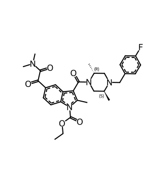 CCOC(=O)n1c(C)c(C(=O)N2C[C@H](C)N(Cc3ccc(F)cc3)C[C@H]2C)c2cc(C(=O)C(=O)N(C)C)ccc21